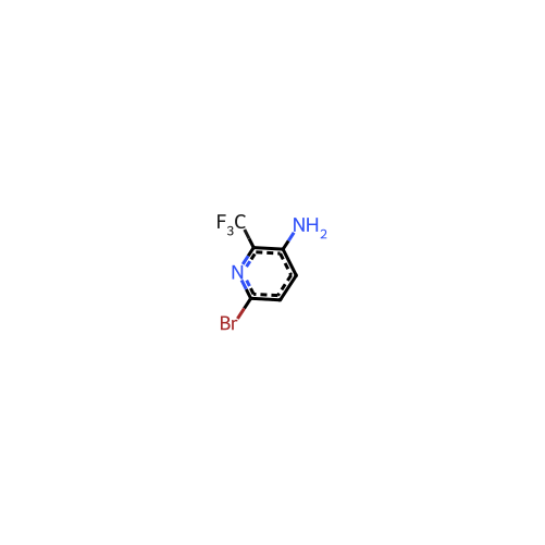 Nc1ccc(Br)nc1C(F)(F)F